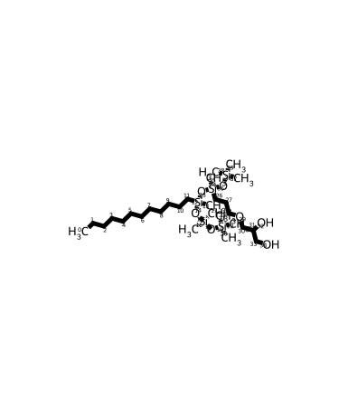 CCCCCCCCCCCC[Si](C)(O[Si](C)(C)O[Si](C)(C)C)O[Si](C)(CCCOCC(O)CO)O[Si](C)(C)C